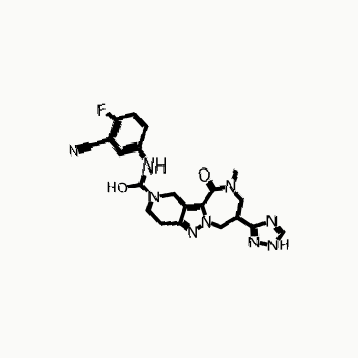 CN1CC(c2nc[nH]n2)Cn2nc3c(c2C1=O)CN(C(O)Nc1ccc(F)c(C#N)c1)CC3